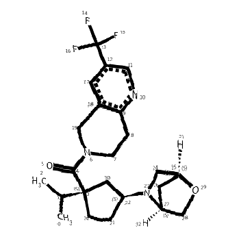 CC(C)[C@]1(C(=O)N2CCc3ncc(C(F)(F)F)cc3C2)CC[C@H](N2C[C@@H]3C[C@H]2CO3)C1